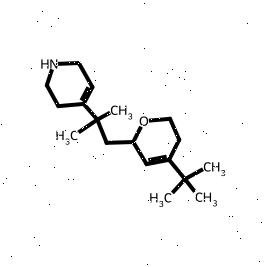 CC(C)(C)C1=CC(CC(C)(C)C2=CCNCC2)OCC1